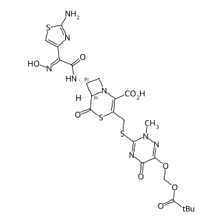 Cn1nc(OCOC(=O)C(C)(C)C)c(=O)nc1SCC1=C(C(=O)O)N2C[C@@H](NC(=O)C(=NO)c3csc(N)n3)[C@@H]2C(=O)S1